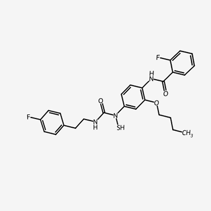 CCCCOc1cc(N(S)C(=O)NCCc2ccc(F)cc2)ccc1NC(=O)c1ccccc1F